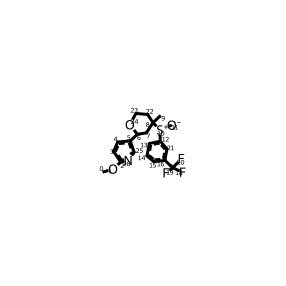 COc1ccc(C2CC(C)([S+]([O-])c3cccc(C(F)(F)F)c3)CCO2)cn1